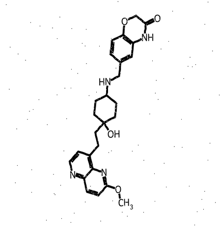 COc1ccc2nccc(CCC3(O)CCC(NCc4ccc5c(c4)NC(=O)CO5)CC3)c2n1